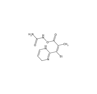 CCC(C1=NCC=CN1)=C(C)C(=O)ONC(N)=O